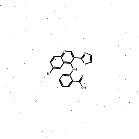 O=C(O)c1ccccc1Nc1c(-c2ncco2)cnc2ccc(Br)cc12